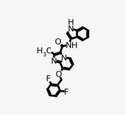 Cc1nc2c(OCc3c(F)cccc3F)cccn2c1C(=O)Nc1c[nH]c2ccccc12